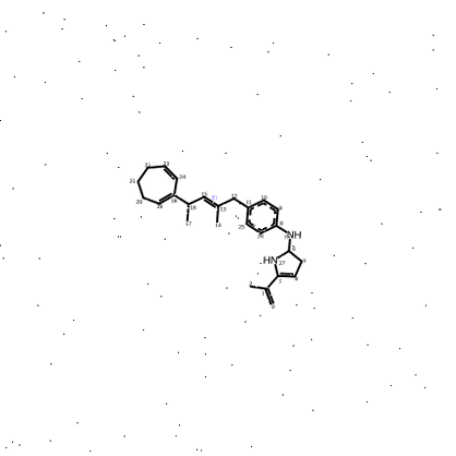 C=C(C)C1=CCC(Nc2ccc(C/C(C)=C/C(C)C3=CCCCC=C3)cc2)N1